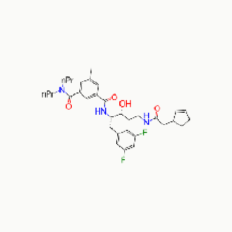 CCCN(CCC)C(=O)c1cc(C)cc(C(=O)N[C@@H](Cc2cc(F)cc(F)c2)[C@H](O)CCNC(=O)CC2C=CCC2)c1